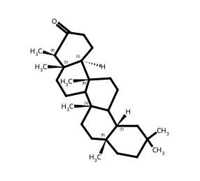 C[C@H]1C(=O)CC[C@@H]2[C@]1(C)CCC1[C@@]3(C)CC[C@@]4(C)CCC(C)(C)C[C@H]4C3CC[C@]12C